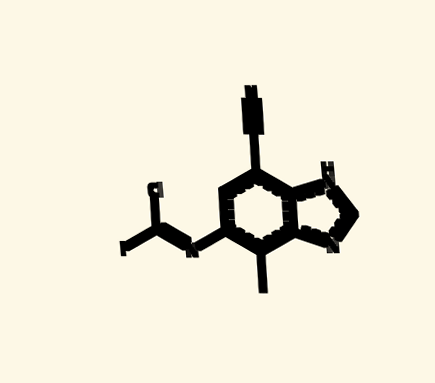 Cc1c(/N=C(\Cl)I)cc(C#N)c2[nH]cnc12